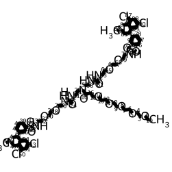 CCOCCOCCOCCOCCOCCC(=O)N(CCNC(=O)NCCOCCOCCNS(=O)(=O)c1cccc([C@@H]2CN(C)Cc3c(Cl)cc(Cl)cc32)c1)CCNC(=O)NCCOCCOCCNS(=O)(=O)c1cccc([C@@H]2CN(C)Cc3c(Cl)cc(Cl)cc32)c1